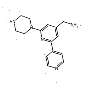 NCc1cc(-c2ccncc2)nc(N2CCNCC2)c1